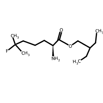 CCC(CC)COC(=O)[C@@H](N)CCCC(C)(C)F